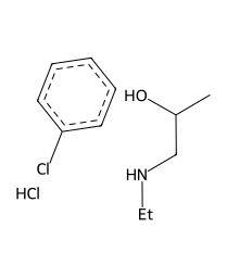 CCNCC(C)O.Cl.Clc1ccccc1